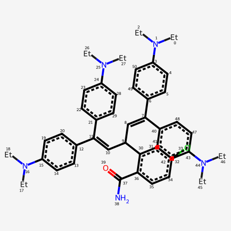 CCN(CC)c1ccc(C(=CC(C=C(c2ccc(N(CC)CC)cc2)c2ccc(N(CC)CC)cc2)c2cc(Cl)ccc2C(N)=O)c2ccc(N(CC)CC)cc2)cc1